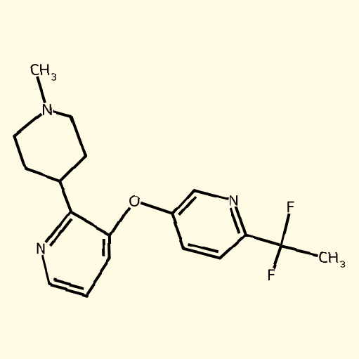 CN1CCC(c2ncccc2Oc2ccc(C(C)(F)F)nc2)CC1